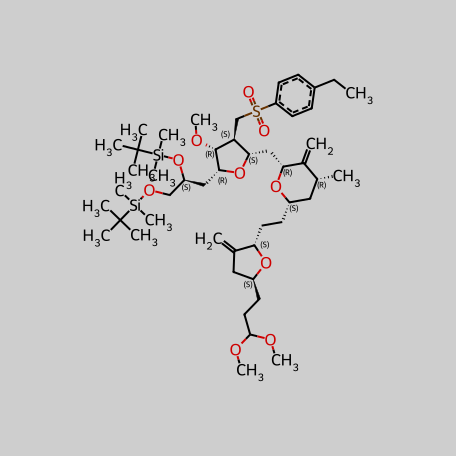 C=C1C[C@H](CCC(OC)OC)O[C@H]1CC[C@H]1C[C@@H](C)C(=C)[C@@H](C[C@@H]2O[C@H](C[C@@H](CO[Si](C)(C)C(C)(C)C)O[Si](C)(C)C(C)(C)C)[C@H](OC)[C@H]2CS(=O)(=O)c2ccc(CC)cc2)O1